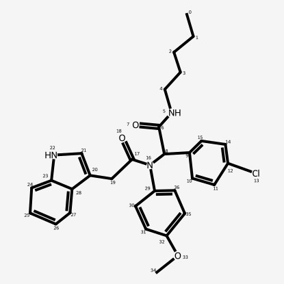 CCCCCNC(=O)C(c1ccc(Cl)cc1)N(C(=O)Cc1c[nH]c2ccccc12)c1ccc(OC)cc1